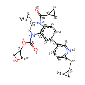 C[C@H]1CN(C(=O)OC2COC2)c2cc(-c3ccc(CC4CC4)nc3)ccc2N1C(=O)C1CC1